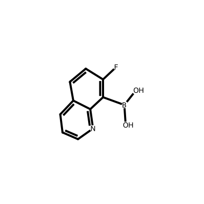 OB(O)c1c(F)ccc2cccnc12